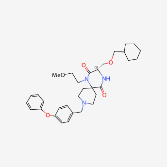 COCCN1C(=O)[C@H](COCC2CCCCC2)NC(=O)C12CCN(Cc1ccc(Oc3ccccc3)cc1)CC2